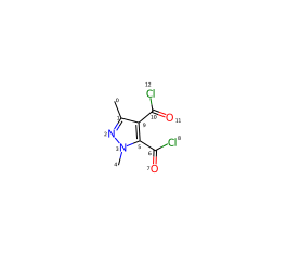 Cc1nn(C)c(C(=O)Cl)c1C(=O)Cl